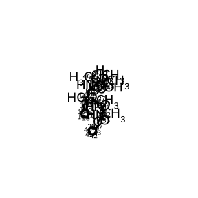 CC(C)[C@H](NC(=O)[C@@H](NC(=O)CC[C@H](O)[C@H](Cc1ccccc1)NC(=O)[C@H](C)NC(=O)[C@H](C)NC(=O)OCc1ccccc1)C(C)C)C(=O)O